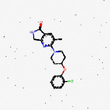 Cc1cc2c(nc1N1CCC(Oc3ccccc3Cl)CC1)CNC2=O